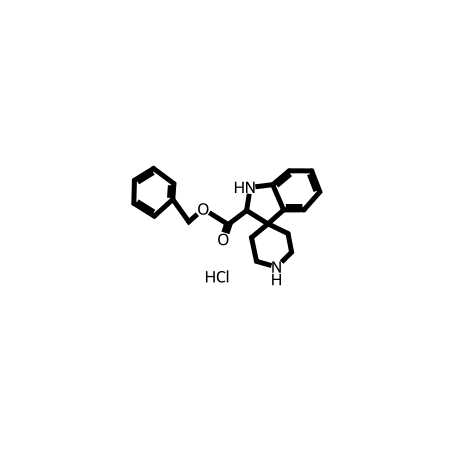 Cl.O=C(OCc1ccccc1)C1Nc2ccccc2C12CCNCC2